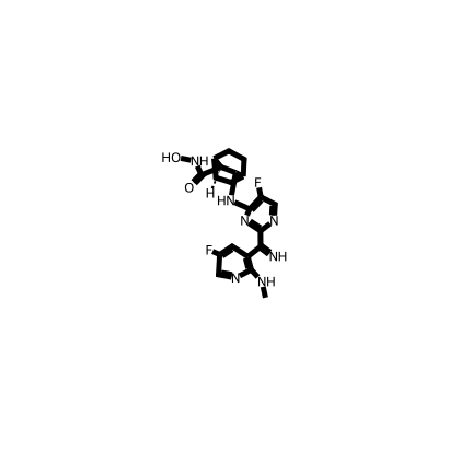 CNc1ncc(F)cc1C(=N)c1ncc(F)c(NC2C3CCC(CC3)[C@@H]2C(=O)NO)n1